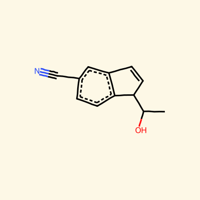 CC(O)C1C=Cc2cc(C#N)ccc21